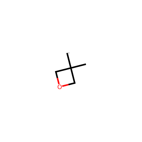 [CH2]C1(C)COC1